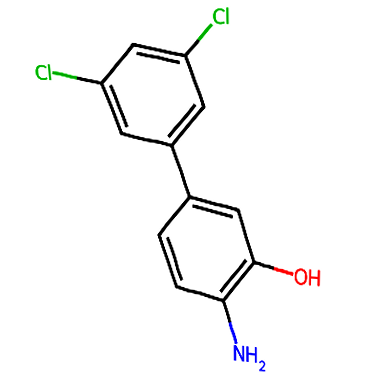 Nc1ccc(-c2cc(Cl)cc(Cl)c2)cc1O